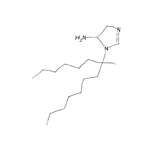 CCCCCCCC(C)(CCCCCC)N1C=NCC1N